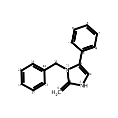 C=C1NC=C(c2ccccc2)N1Cc1ccccc1